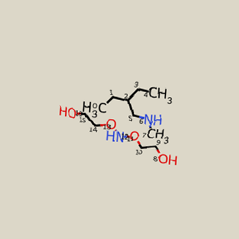 CCC(CC)CNC.OCCONOCCO